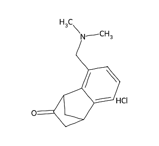 CN(C)Cc1cccc2c1C1CC2CC1=O.Cl